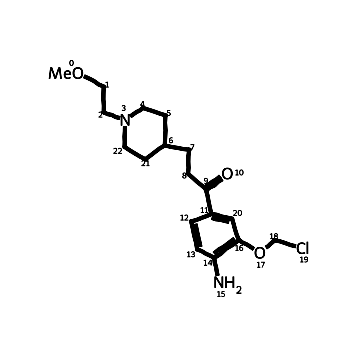 COCCN1CCC(CCC(=O)c2ccc(N)c(OCCl)c2)CC1